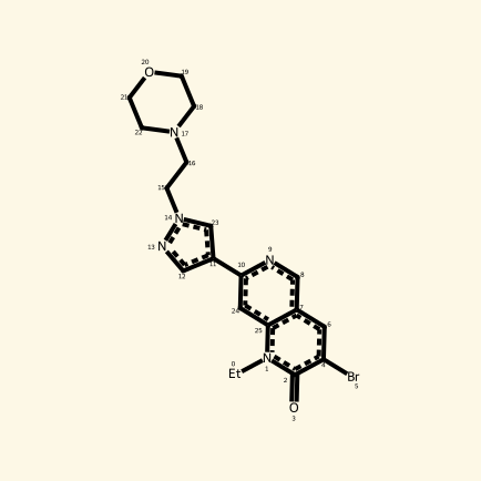 CCn1c(=O)c(Br)cc2cnc(-c3cnn(CCN4CCOCC4)c3)cc21